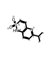 CC(C)c1ccc2c(n1)C=CS(=O)(=O)N2